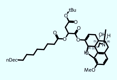 CCCCCCCCCCCCCCCCCC(=O)OC(CC(=O)OC(C)(C)C)C(=O)OC1=CC[C@@]2(O)[C@H]3Cc4ccc(OC)c5c4[C@@]2(CCN3C)[C@H]1O5